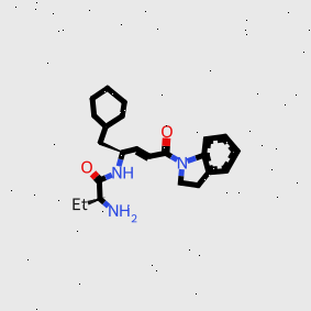 CC[C@H](N)C(=O)N[C@H](/C=C/C(=O)N1CCc2ccccc21)CC1CCCCC1